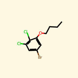 CCCCOc1cc(Br)cc(Cl)c1Cl